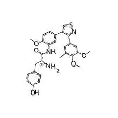 COc1ccc(-c2csnc2-c2cc(C)c(OC)c(OC)c2)cc1NC(=O)[C@@H](N)Cc1ccc(O)cc1